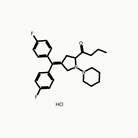 CCCC(=O)C1CC(=C(c2ccc(F)cc2)c2ccc(F)cc2)CN1N1CCCCC1.Cl